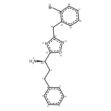 N[C@H](CCc1ccccc1)c1nc(Cc2ccccc2Br)no1